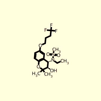 CCN([C@H]1c2cc(OCCCC(F)(F)F)ccc2OC(C)(C)[C@@H]1O)S(C)(=O)=O